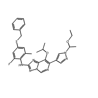 CCOC(C)n1cc(-c2ncn3nc(Nc4c(C)cc(SCc5ccccc5)cc4F)nc3c2OC(C)C)cn1